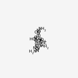 C=CCC(=O)O[C@@H]1C(COP(=O)(O)O[C@H]2C[C@H](n3ccc(N)nc3=O)O[C@@H]2COP(=O)(O)O)O[C@@H](n2cnc3c(N)ncnc32)[C@@H]1O